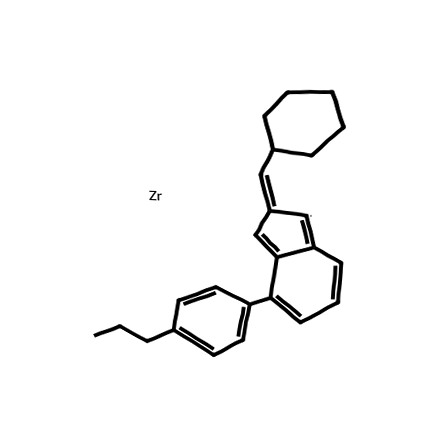 CCCc1ccc(-c2cccc3c2=CC(=CC2CCCCC2)[C]=3)cc1.[Zr]